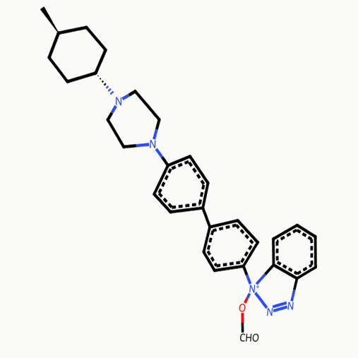 C[C@H]1CC[C@H](N2CCN(c3ccc(-c4ccc([N+]5(OC=O)N=Nc6ccccc65)cc4)cc3)CC2)CC1